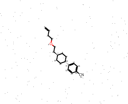 C=CCCOCC[C@H]1CC[C@H](c2ccc(C#N)cc2)CC1